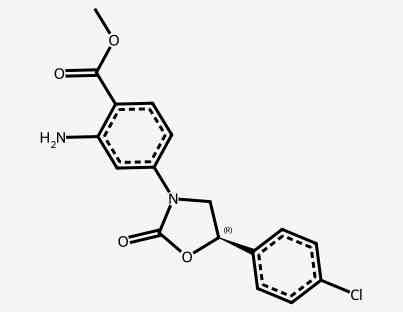 COC(=O)c1ccc(N2C[C@@H](c3ccc(Cl)cc3)OC2=O)cc1N